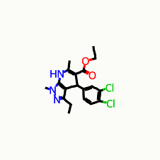 CCOC(=O)C1=C(C)Nc2c(c(CC)nn2C)C1c1ccc(Cl)c(Cl)c1